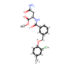 CC(C)(C)OC(=O)C(CC(N)=O)NC(=O)c1cccc(COc2ccc(C(F)(F)F)cc2Cl)c1